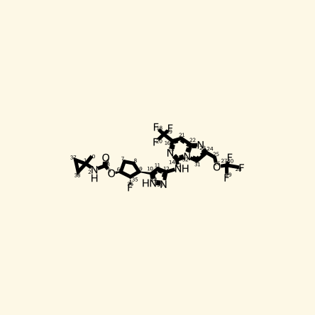 CC1(NC(=O)O[C@H]2CC[C@@H](c3cc(Nc4nc(C(F)(F)F)cc5nc(COC(F)(F)F)cn45)n[nH]3)[C@@H]2F)CC1